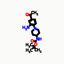 CC(=O)c1ccc(N2CCC(NC(=O)OC(C)(C)C)CC2)c(N)c1